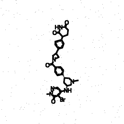 CN1C[C@H](Nc2cnn(C)c(=O)c2Br)C[C@H](c2ccc(C(=O)N3CC(c4ccc(C5CCC(=O)NC5=O)cc4)C3)cc2)C1